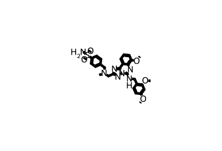 COc1ccc(CNc2nc3c(OC)cccc3c3nc(CN(C)Cc4ccc(S(N)(=O)=O)cc4)nn23)c(OC)c1